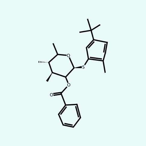 Cc1ccc(C(C)(C)C)cc1S[C@@H]1OC(C)[C@@H](C)[C@H](C)C1OC(=O)c1ccccc1